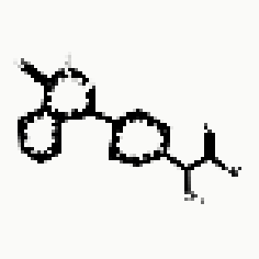 CC(C(=O)N=O)c1ccc(-c2n[nH]c(=O)c3ccccc23)cc1